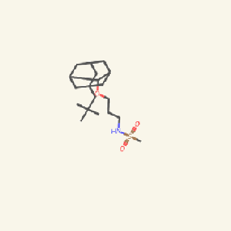 CC(C)(C)CC12CC3CC(C1)C(OCCCNS(C)(=O)=O)C(C3)C2